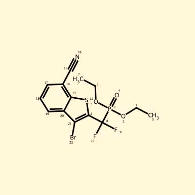 CCOP(=O)(OCC)C(F)(F)c1sc2c(C#N)cccc2c1Br